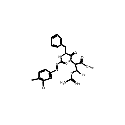 CCCC(NC(=N)N)C(NC(=O)C(Cc1ccccc1)NC(=O)/N=N/c1ccc(C)c(Cl)c1)C(=O)OC